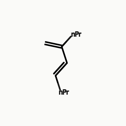 C=C(C=CCCC)CCC